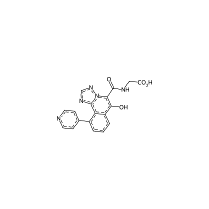 O=C(O)CNC(=O)c1c(O)c2cccc(-c3ccncc3)c2c2ncnn12